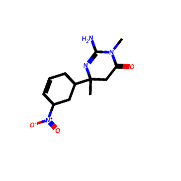 CN1C(=O)CC(C)(C2CC=CC([N+](=O)[O-])C2)N=C1N